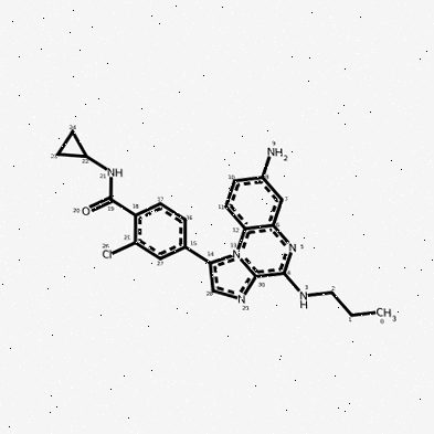 CCCNc1nc2cc(N)ccc2n2c(-c3ccc(C(=O)NC4CC4)c(Cl)c3)cnc12